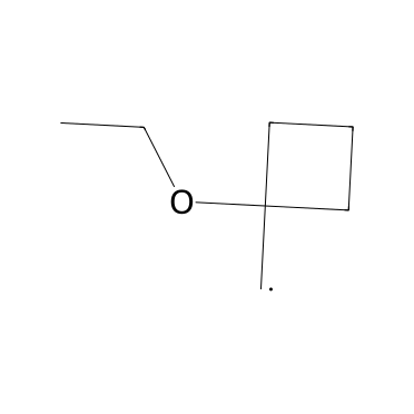 [CH2]C1(OCC)CCC1